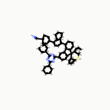 N#Cc1ccc(-c2ccc(-c3cccc4c3-c3cc(-c5nc(-c6ccccc6)nc(-c6ccccc6)n5)ccc3C43c4ccccc4Sc4ccccc43)c3ccccc23)cc1